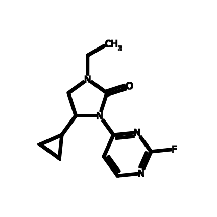 CCN1CC(C2CC2)N(c2ccnc(F)n2)C1=O